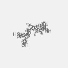 CCCOC(C[C@H](C(C)C)N(CCC)C(=O)[C@@H](NC(=O)[C@H]1CCCCN1C(=O)CNC)[C@@H](C)CC)c1nc(C(=O)N[C@@H](Cc2ccc(O)cc2)C[C@H](C)C(=O)O)cs1